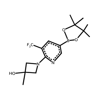 CC1(O)CN(c2ncc(B3OC(C)(C)C(C)(C)O3)cc2C(F)(F)F)C1